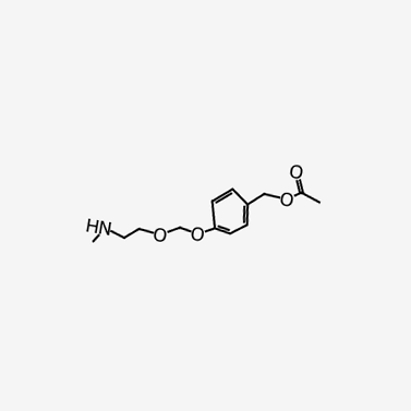 CNCCOCOc1ccc(COC(C)=O)cc1